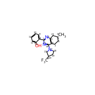 C[C@@H]1CCc2c(nc(-c3ccccc3O)nc2N2CCC(C(F)(F)F)C2)C1